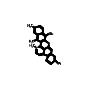 Cc1ccc2c(C(C)(C)C)c3c(c(C)c2c1)-c1c2c(cc4cc(C(C)C)ccc4c2cc[n+]1C)S3